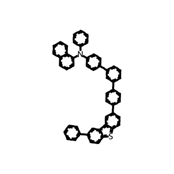 c1ccc(-c2ccc3sc4ccc(-c5ccc(-c6cccc(-c7ccc(N(c8ccccc8)c8cccc9ccccc89)cc7)c6)cc5)cc4c3c2)cc1